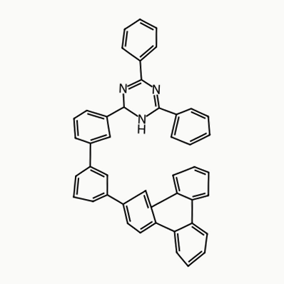 c1ccc(C2=NC(c3cccc(-c4cccc(-c5ccc6c7ccccc7c7ccccc7c6c5)c4)c3)NC(c3ccccc3)=N2)cc1